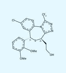 COc1cccc([C@H]2S[C@H](CCO)c3nnc(C(F)(F)F)n3-c3ccc(Cl)cc32)c1OC